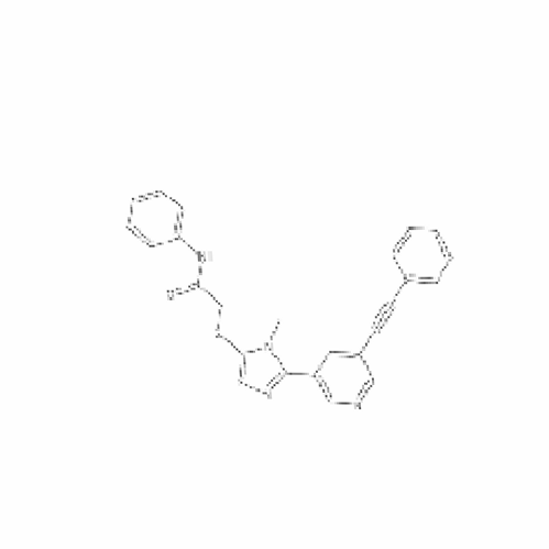 Cn1c(SCC(=O)Nc2ccccc2)nnc1-c1cncc(C#Cc2ccccc2)c1